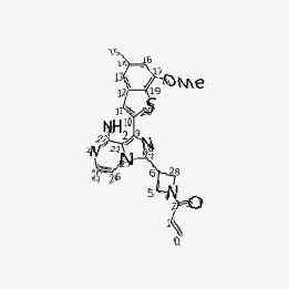 C=CC(=O)N1CC(c2nc(-c3cc4cc(C)cc(OC)c4s3)c3c(N)nccn23)C1